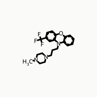 CN1CCN(CCCN2c3ccccc3Oc3ccc(C(F)(F)F)cc32)CC1